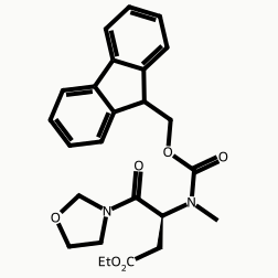 CCOC(=O)C[C@@H](C(=O)N1CCOC1)N(C)C(=O)OCC1c2ccccc2-c2ccccc21